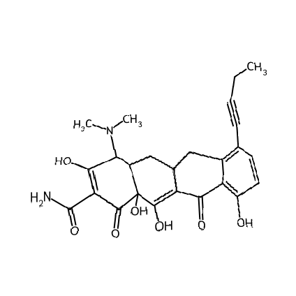 CCC#Cc1ccc(O)c2c1CC1CC3C(N(C)C)C(O)=C(C(N)=O)C(=O)C3(O)C(O)=C1C2=O